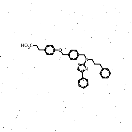 O=C(O)CCc1ccc(OCc2ccc(CN(CCCc3ccccc3)c3nc(-c4ccccc4)cs3)cc2)cc1